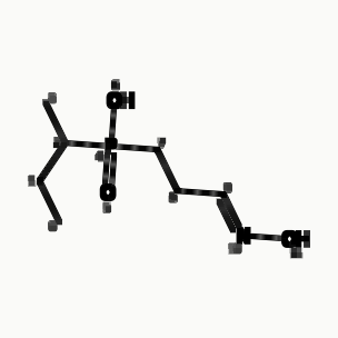 CCC(C)P(=O)(O)CCC=NO